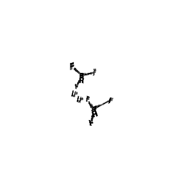 F[BH-](F)F.F[BH-](F)F.[Li+].[Li+]